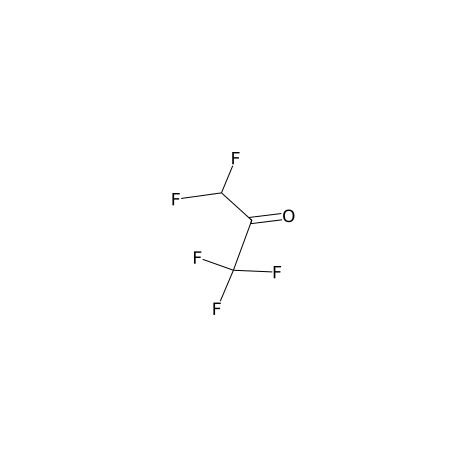 O=C(C(F)F)C(F)(F)F